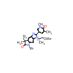 COC[C@H](C)n1c(-c2cc(C)c(=O)n(C)c2)nc2cc3c(cc21)N(C(C)C)C(=O)C3(C)C